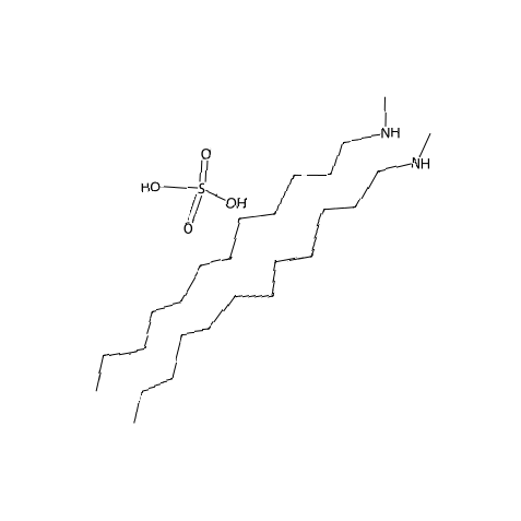 CCCCCCCCCCCCNC.CCCCCCCCCCCCNC.O=S(=O)(O)O